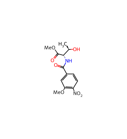 COC(=O)[C@@H](NC(=O)c1ccc([N+](=O)[O-])c(OC)c1)[C@@H](C)O